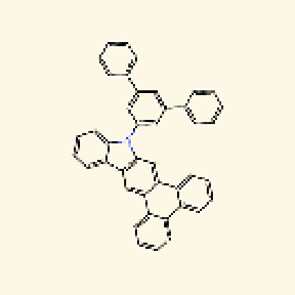 c1ccc(-c2cc(-c3ccccc3)cc(-n3c4ccccc4c4cc5c6ccccc6c6ccccc6c5cc43)c2)cc1